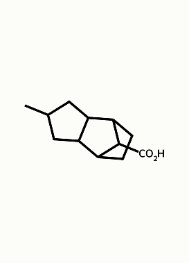 CC1CC2C(C1)C1CCC2C1C(=O)O